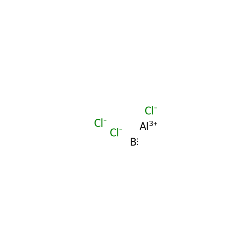 [Al+3].[B].[Cl-].[Cl-].[Cl-]